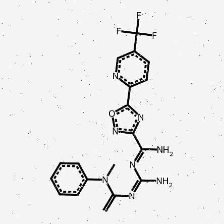 C=C(/N=C(N)\N=C(/N)c1noc(-c2ccc(C(F)(F)F)cn2)n1)N(C)c1ccccc1